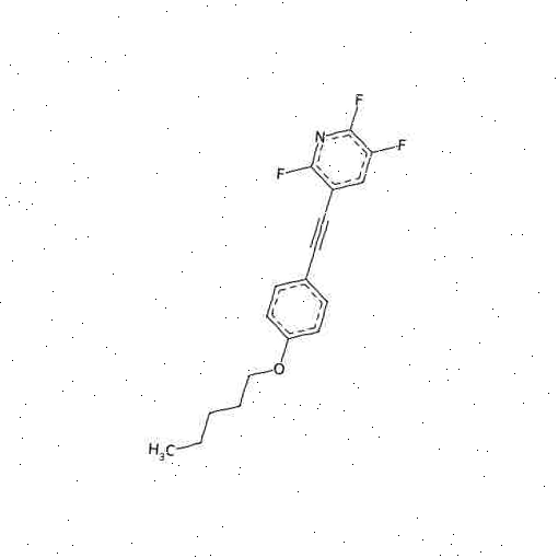 CCCCCOc1ccc(C#Cc2cc(F)c(F)nc2F)cc1